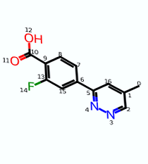 Cc1cnnc(-c2ccc(C(=O)O)c(F)c2)c1